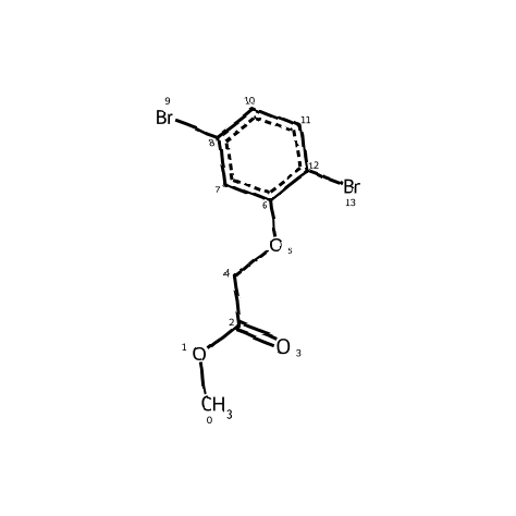 COC(=O)COc1cc(Br)ccc1Br